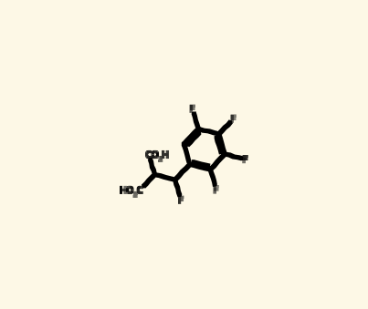 O=C(O)C(C(=O)O)C(F)c1cc(F)c(F)c(F)c1F